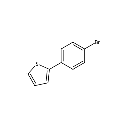 Brc1ccc(-c2cc[c]s2)cc1